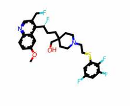 COc1ccc2ncc(CF)c([C@H](F)CCC3(CO)CCN(CCSc4cc(F)cc(F)c4F)CC3)c2c1